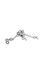 CCCCCCCCCC(O)OC(C(=O)OCC)N1C(=O)CCc2ccc(OCCCCN3CCN(c4cccc5ccccc45)CC3)nc21